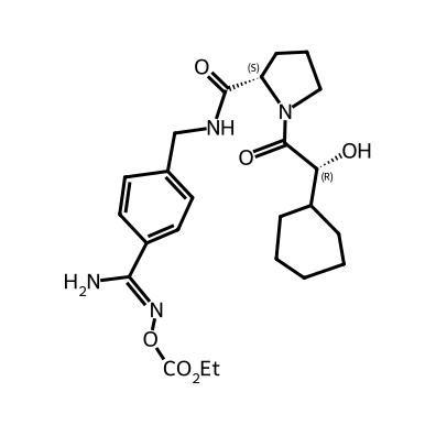 CCOC(=O)ON=C(N)c1ccc(CNC(=O)[C@@H]2CCCN2C(=O)[C@H](O)C2CCCCC2)cc1